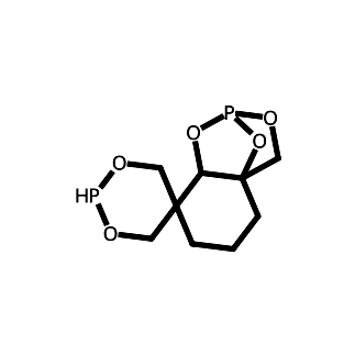 C1CC2(COPOC2)C2OP3OCC2(C1)O3